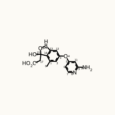 Cc1cc(Oc2ccnc(N)c2)cc2c1C(O)(CC(=O)O)OB2